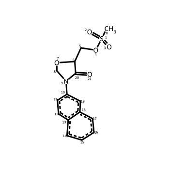 CS(=O)(=O)OCC1OCN(c2ccc3ccccc3c2)C1=O